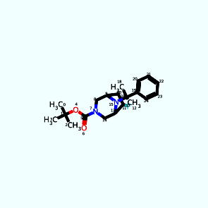 CC(C)(C)OC(=O)N1CC2CC(F)C(C1)N2C(C)(C)c1ccccc1